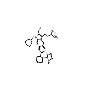 CC(C)CCc1c(CF)n(CC2CCCCC2)c(=O)n1Cc1ccc(-c2ccccc2-c2nnn[nH]2)cc1